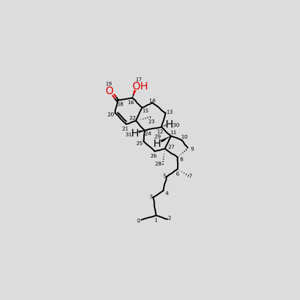 CC(C)CCC[C@@H](C)[C@H]1CC[C@H]2[C@@H]3CCC4[C@H](O)C(=O)C=C[C@]4(C)[C@H]3CC[C@]12C